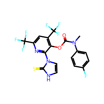 CN(C(=O)Oc1c(C(F)(F)F)cc(C(F)(F)F)nc1-n1cc[nH]c1=S)c1ccc(F)cc1